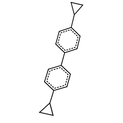 c1cc(C2CC2)ccc1-c1ccc(C2CC2)cc1